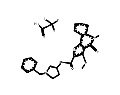 COc1c(C(=O)NC2CCN(Cc3ccccc3)C2)sc2c1c(=O)n(C)c1ccccc21.O=C(O)C(F)(F)F